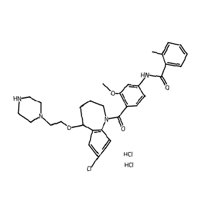 COc1cc(NC(=O)c2ccccc2C)ccc1C(=O)N1CCCC(OCCN2CCNCC2)c2cc(Cl)ccc21.Cl.Cl